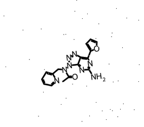 CC(=O)N(Cc1ccccn1)n1nnc2c(-c3ccco3)nc(N)nc21